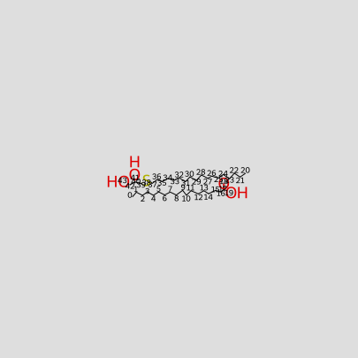 CCCCCCCCCCCCCCCCCC(=O)O.CCCCCCCCCCCCCCCCCCSCC(O)CO